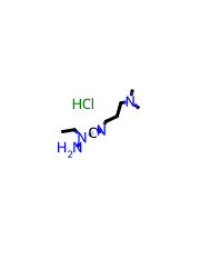 CC[N+](N)=C=NCCCN(C)C.Cl